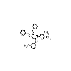 Cc1cccc(OC(CC(SCc2ccccc2)SCc2ccccc2)=Nc2ccc(C)c(C)c2)c1